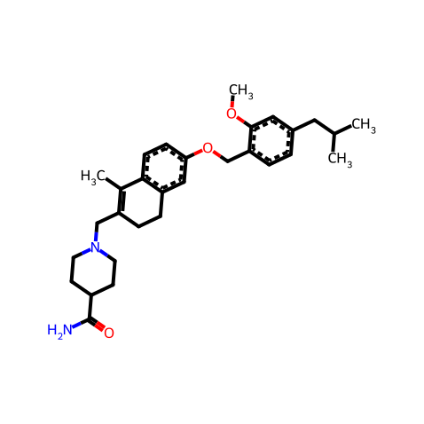 COc1cc(CC(C)C)ccc1COc1ccc2c(c1)CCC(CN1CCC(C(N)=O)CC1)=C2C